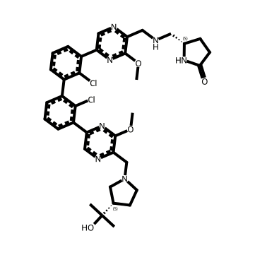 COc1nc(-c2cccc(-c3cccc(-c4cnc(CN5CC[C@H](C(C)(C)O)C5)c(OC)n4)c3Cl)c2Cl)cnc1CNC[C@@H]1CCC(=O)N1